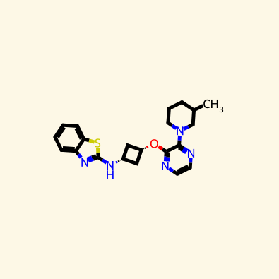 CC1CCCN(c2nccnc2O[C@H]2C[C@@H](Nc3nc4ccccc4s3)C2)C1